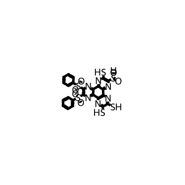 O=[SH](=O)c1nc2c3nc(S)c(S)nc3c3nc(S(=O)(=O)c4ccccc4)c(S(=O)(=O)c4ccccc4)nc3c2nc1S